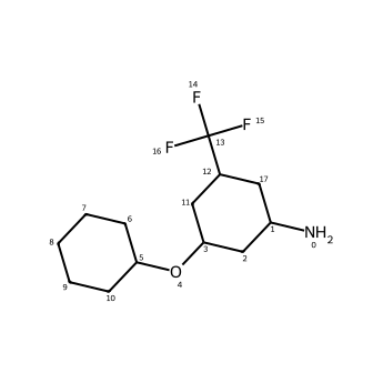 NC1CC(OC2CCCCC2)CC(C(F)(F)F)C1